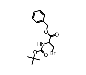 CC(C)(C)OC(=O)NC(CBr)C(=O)OCc1ccccc1